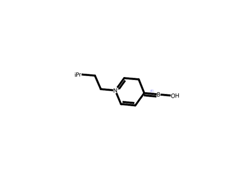 CC(C)CC[N+]1=CC/C(=B\O)C=C1